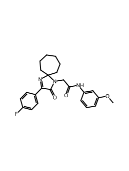 COc1cccc(NC(=O)CN2C(=O)C(c3ccc(F)cc3)=NC23CCCCCC3)c1